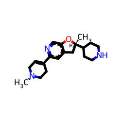 CN1CC=C(c2cc3c(cn2)O[C@@](C)(C2CCNCC2)C3)CC1